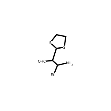 CCC(N)C(C=O)C1SCCS1